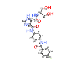 O=C(Nc1ccc(NC(=O)c2nc[nH]c2C(=O)NC(CO)CO)cc1)c1ccc(F)cc1